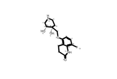 O=C1CCc2c(OC[C@]3(O)CCNC[C@H]3O)ccc(F)c2N1